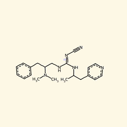 CC(Cc1ccncc1)N/C(=N\C#N)NCC(Cc1ccccc1)N(C)C